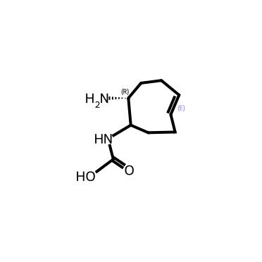 N[C@@H]1CC/C=C/CCC1NC(=O)O